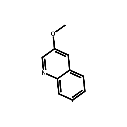 COc1cnc2c[c]ccc2c1